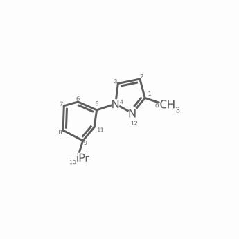 Cc1ccn(-c2cccc(C(C)C)c2)n1